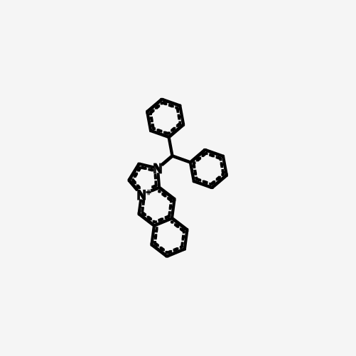 c1ccc(C(c2ccccc2)n2cc[n+]3cc4ccccc4cc23)cc1